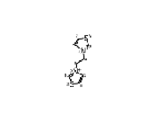 c1c[n+](CC[n+]2ccsc2)cs1